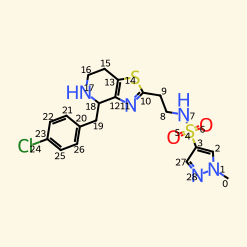 Cn1cc(S(=O)(=O)NCCc2nc3c(s2)CCNC3Cc2ccc(Cl)cc2)cn1